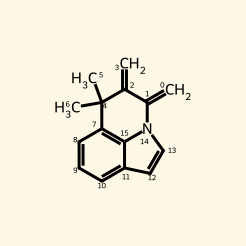 C=C1C(=C)C(C)(C)c2cccc3ccn1c23